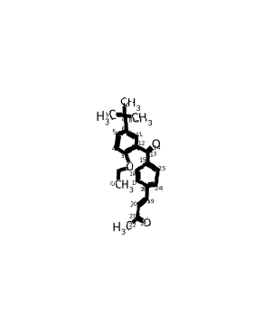 CCOc1ccc(C(C)(C)C)cc1C(=O)c1ccc(C=CC(C)=O)cc1